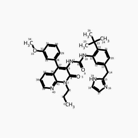 CCCn1c(=O)c(NC(=O)Nc2cc(Cc3ncc[nH]3)ccc2C(C)(C)C)c(-c2cccc(OC)c2)c2cccnc21